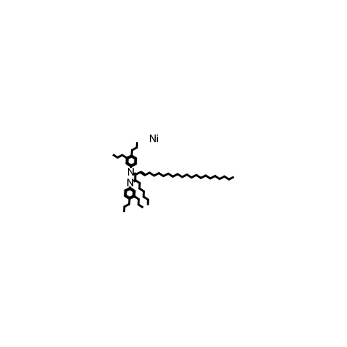 CCCCCCCCCCCCCCCCCCC/C=C/C(=N\c1ccc(CCC)c(CCC)c1)C(/CCCCCC)=N/c1ccc(CCC)c(CCC)c1.[Ni]